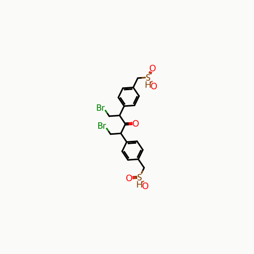 O=C(C(CBr)c1ccc(C[SH](=O)=O)cc1)C(CBr)c1ccc(C[SH](=O)=O)cc1